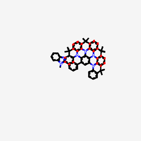 Cn1c(-c2cccc(-c3cc(N4c5ccccc5C(C)(C)c5ccccc54)c(N4c5ccccc5C(C)(C)c5ccccc54)c(N4c5ccccc5C(C)(C)c5ccccc54)c3N3c4ccccc4C(C)(C)c4ccccc43)c2)nc2ccccc21